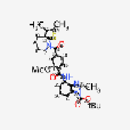 COc1cc(C(=O)N2CCCCc3c2sc(C)c3C)ccc1C(=O)Nc1cccc2c1nc(C)n2C(=O)OC(C)(C)C